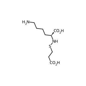 NCCCC[C@H](NSCCC(=O)O)C(=O)O